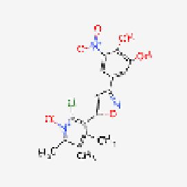 Cc1c(C)c(C)[n+]([O-])c(Cl)c1-c1cc(-c2cc(O)c(O)c([N+](=O)[O-])c2)no1